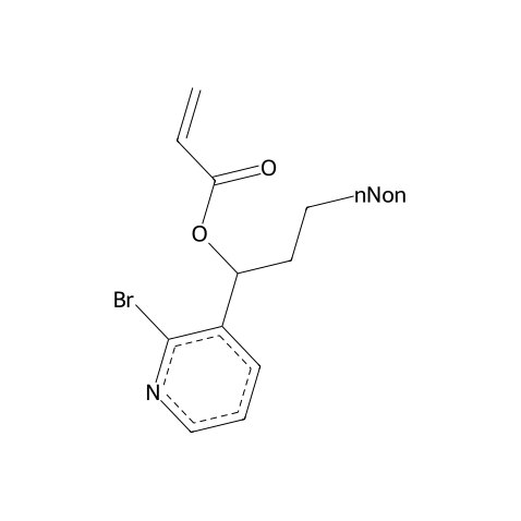 C=CC(=O)OC(CCCCCCCCCCC)c1cccnc1Br